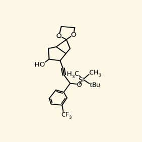 CC(C)(C)[Si](C)(C)OC(C#CC1C(O)CC2C1CC21OCCO1)c1cccc(C(F)(F)F)c1